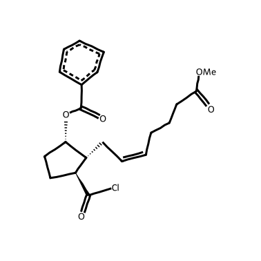 COC(=O)CCC/C=C\C[C@H]1[C@@H](OC(=O)c2ccccc2)CC[C@@H]1C(=O)Cl